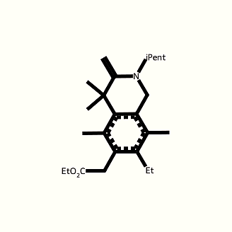 C=C1N(C(C)CCC)Cc2c(C)c(CC)c(CC(=O)OCC)c(C)c2C1(C)C